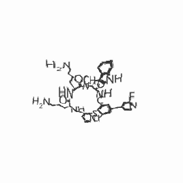 CN1C(=O)[C@H](CCCCN)NC(=O)[C@H](CCCN)NCc2cccnc2Sc2c(Cl)cc(-c3ccnc(F)c3)cc2CNC(=O)[C@@H]1Cc1c[nH]c2ccccc12